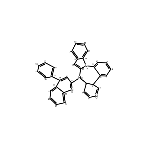 C1=CC2C(C=N1)c1ccccc1-n1c(cc3ccccc31)N2c1cc(-c2ccccc2)c2ccccc2n1